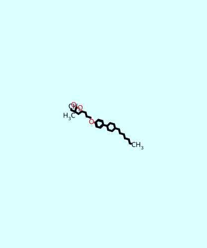 CCCCCCCC1CCC(c2ccc(OCCCC3CC(C)(CC)C(=O)O3)cc2)CC1